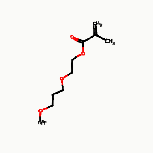 C=C(C)C(=O)OCCOCCCOCCC